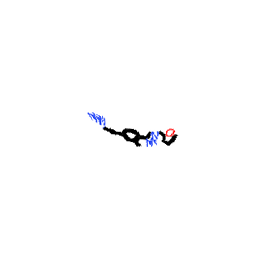 Cc1cc(C#CCN=[N+]=[N-])ccc1-c1cn(CC2CCCCO2)nn1